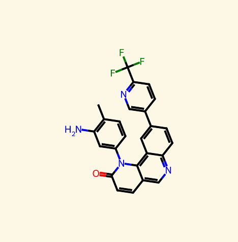 Cc1ccc(-n2c(=O)ccc3cnc4ccc(-c5ccc(C(F)(F)F)nc5)cc4c32)cc1N